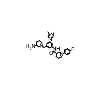 Cc1cn(-c2cc(CN3CCCC(N)C3)cc(NC(=O)C3CCCN(c4ccc(F)cc4)C3)c2)cn1